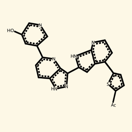 CC(=O)c1ccc(-c2ccnc3[nH]c(-c4n[nH]c5ccc(-c6cncc(O)c6)nc45)cc23)s1